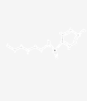 CCCOCCNC(=O)c1ncc(C)cn1